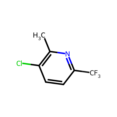 Cc1nc(C(F)(F)F)ccc1Cl